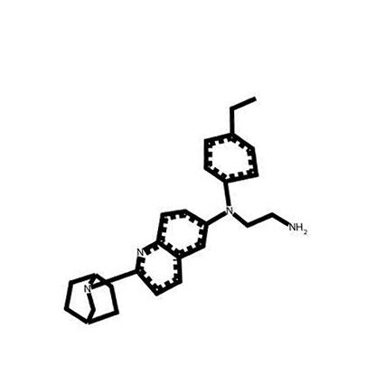 CCc1ccc(N(CCN)c2ccc3nc(N4CC5CCC4CC5)ccc3c2)cc1